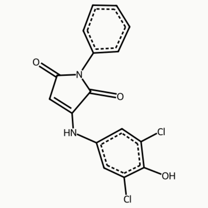 O=C1C=C(Nc2cc(Cl)c(O)c(Cl)c2)C(=O)N1c1ccccc1